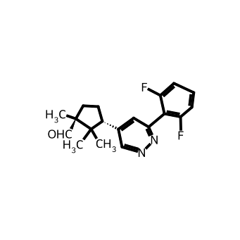 CC1(C)[C@@H](c2cnnc(-c3c(F)cccc3F)c2)CC[C@]1(C)C=O